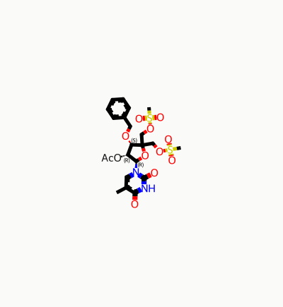 CC(=O)O[C@H]1[C@H](n2cc(C)c(=O)[nH]c2=O)OC(COS(C)(=O)=O)(COS(C)(=O)=O)[C@H]1OCc1ccccc1